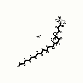 CCCCCCCCCCCCCC1CCC(OCCC[N+](C)(C)C)O1.[I-]